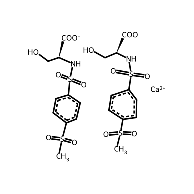 CS(=O)(=O)c1ccc(S(=O)(=O)N[C@@H](CO)C(=O)[O-])cc1.CS(=O)(=O)c1ccc(S(=O)(=O)N[C@@H](CO)C(=O)[O-])cc1.[Ca+2]